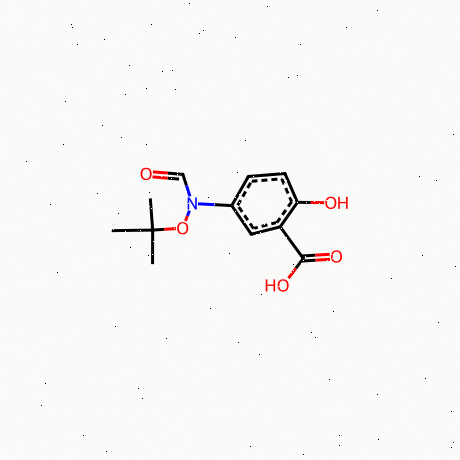 CC(C)(C)ON(C=O)c1ccc(O)c(C(=O)O)c1